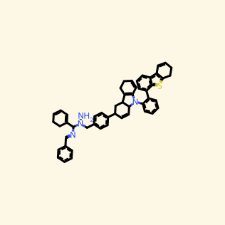 NN(Cc1ccc(C2C=CC3C(C2)C2=C(C=CCC2)N3c2ccccc2-c2cccc3c4c(sc23)CCC=C4)cc1)C(/N=C/c1ccccc1)C1=CC=CCC1